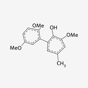 COc1ccc(OC)c(-c2cc(C)cc(OC)c2O)c1